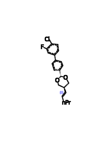 CCC/C=C/[C@H]1CO[C@H](c2ccc(-c3ccc(Cl)c(F)c3)cc2)OC1